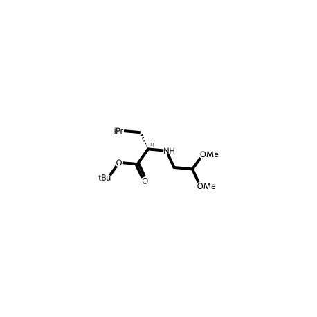 COC(CN[C@@H](CC(C)C)C(=O)OC(C)(C)C)OC